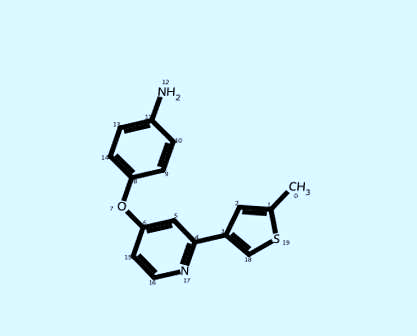 Cc1cc(-c2cc(Oc3ccc(N)cc3)ccn2)cs1